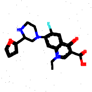 CCn1cc(C(=O)O)c(=O)c2cc(F)c(N3CCNC(c4ccco4)C3)cc21